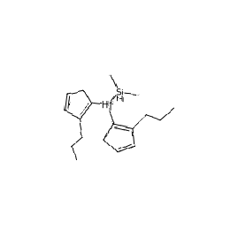 CCCC1=[C]([Hf]([C]2=C(CCC)C=CC2)[SiH](C)C)CC=C1